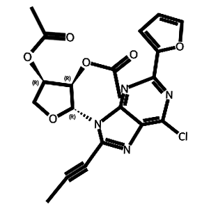 CC#Cc1nc2c(Cl)nc(-c3ccco3)nc2n1[C@@H]1OC[C@@H](OC(C)=O)[C@H]1OC(C)=O